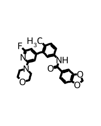 Cc1ccc(NC(=O)c2ccc3c(c2)OCO3)cc1-c1cc(F)nc(N2CCOCC2)c1